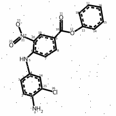 Nc1ccc(Nc2ccc(C(=O)Oc3ccccc3)cc2[N+](=O)[O-])cc1Cl